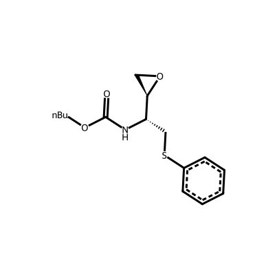 CCCCOC(=O)N[C@@H](CSc1ccccc1)[C@H]1CO1